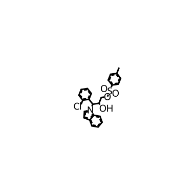 Cc1ccc(S(=O)(=O)OCC(O)C(c2ccccc2Cl)n2ccc3ccccc32)cc1